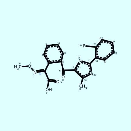 CO/N=C(/C(=O)O)c1ccccc1C(=O)c1nc(-c2ccccc2F)sc1C